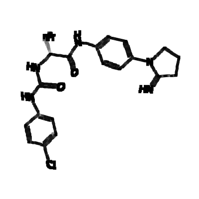 CCC[C@@H](NC(=O)Nc1ccc(Cl)cc1)C(=O)Nc1ccc(N2CCCC2=N)cc1